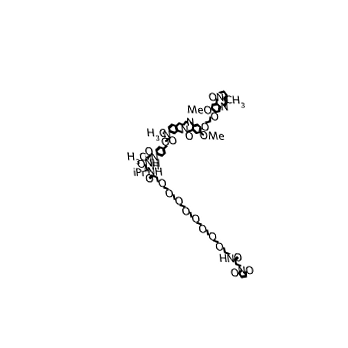 COc1cc2c(cc1OCCCOc1cc3c(cc1OC)C(=O)N1CCC[C@@]1(C)C=N3)N=CC1Cc3ccc(N(C)C(=O)OCc4ccc(NC(=O)[C@H](C)NC(=O)[C@@H](NC(=O)CCOCCOCCOCCOCCOCCOCCOCCOCCCNC(=O)CCN5C(=O)C=CC5=O)C(C)C)cc4)cc3CN1C2=O